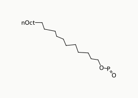 CCCCCCCCCCCCCCCCCCCOP=O